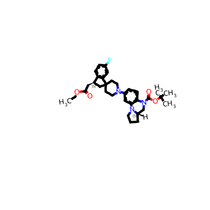 CCOC(=O)C[C@@H]1CC2(CCN(c3ccc4c(c3)N3CCC[C@H]3CN4C(=O)OC(C)(C)C)CC2)c2cc(F)ccc21